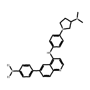 CCN(CC)c1ccc(-c2ccc3nccc(Nc4ccc(N5CCC(N(C)C)C5)cc4)c3c2)cc1